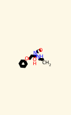 C=CCNC(O)(CCOc1ccccc1)N=C=O